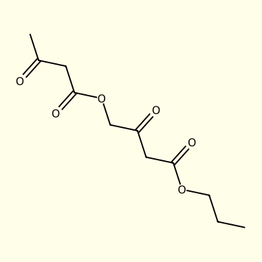 CCCOC(=O)CC(=O)COC(=O)CC(C)=O